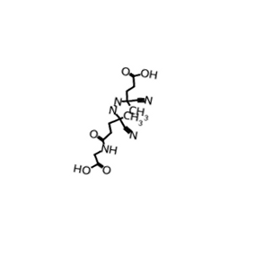 CC(C#N)(CCC(=O)O)/N=N\C(C)(C#N)CCC(=O)NCC(=O)O